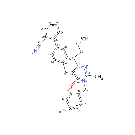 CCCCc1nc(C)n(Cc2ccc(F)cc2)c(=O)c1Cc1ccc(-c2ccccc2C#N)cc1